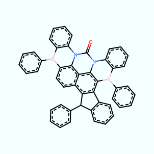 O=C1N2c3ccccc3B(c3ccccc3)c3ccc4c5c(c6c(c4c32)N1c1ccccc1B6c1ccccc1)-c1ccccc1C5c1ccccc1